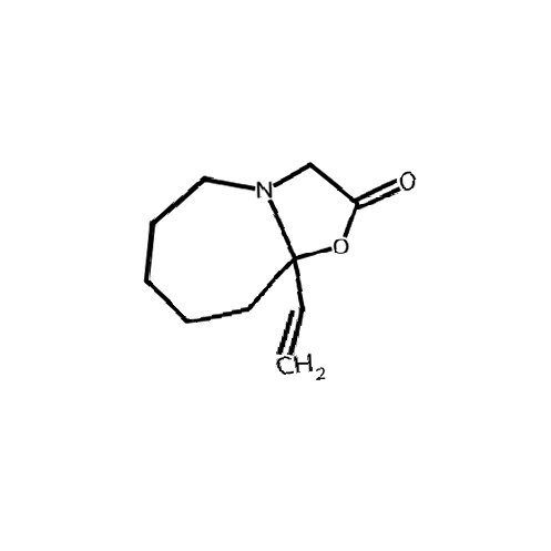 C=CC12CCCCCN1CC(=O)O2